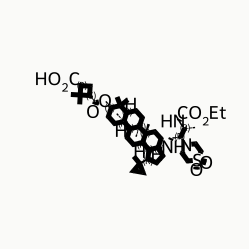 CCOC(=O)N[C@H](C)[C@@H](CN[C@]12CC[C@@H](C3(C)CC3)[C@@H]1[C@H]1CC[C@@H]3[C@@]4(C)CC[C@H](OC(=O)[C@H]5C[C@@H](C(=O)O)C5(C)C)C(C)(C)[C@@H]4CC[C@@]3(C)[C@]1(C)CC2)N1CCS(=O)(=O)CC1